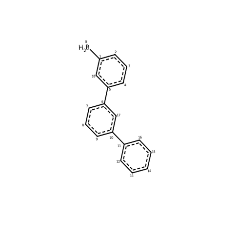 Bc1cccc(-c2cccc(-c3ccccc3)c2)c1